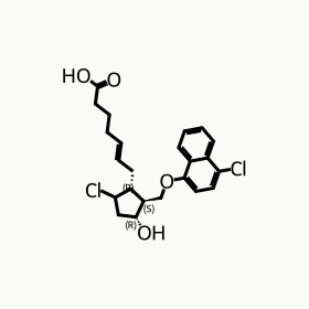 O=C(O)CCCC=CC[C@H]1C(Cl)C[C@@H](O)[C@@H]1COc1ccc(Cl)c2ccccc12